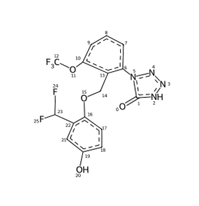 O=c1[nH]nnn1-c1cccc(OC(F)(F)F)c1COc1ccc(O)cc1C(F)F